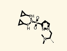 C[C@@H](Cn1ccc(S(=O)(=O)N(PC2CC2)PC2CC2)n1)N(C)C